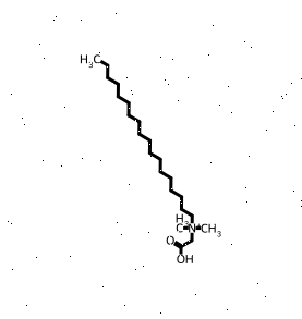 CCCCCCCCCCCCCCCCCC[N+](C)(C)CC(=O)O